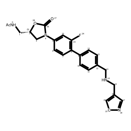 CC(=O)NC[C@H]1CN(c2ccc(-c3ccc(CNCc4cnoc4)cc3)c(F)c2)C(=O)O1